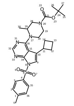 Cc1ccc(S(=O)(=O)n2cc(C3CCC3)c3c(N4CCN(C(=O)OC(C)(C)C)CC4C)ncnc32)cc1